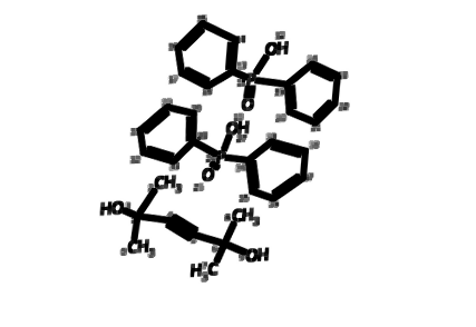 CC(C)(O)C#CC(C)(C)O.O=P(O)(c1ccccc1)c1ccccc1.O=P(O)(c1ccccc1)c1ccccc1